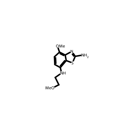 COCCNc1ccc(OC)c2nc(N)sc12